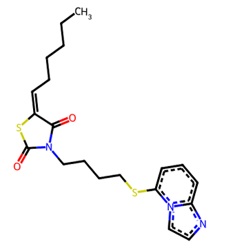 CCCCCC=C1SC(=O)N(CCCCSc2cccc3nccn23)C1=O